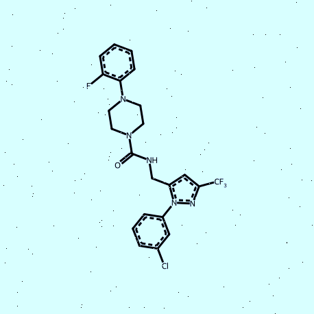 O=C(NCc1cc(C(F)(F)F)nn1-c1cccc(Cl)c1)N1CCN(c2ccccc2F)CC1